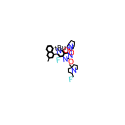 Cc1cc(-c2ncc3c(N4CC5CCC(C4)N5C(=O)OC(C)(C)C)nc(OCC45CCCN4C(CF)CC5)nc3c2F)c2ccccc2c1